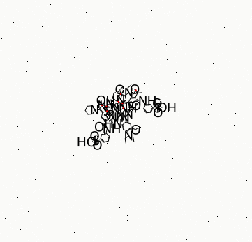 CCN(CC)c1cc(Nc2nc(Nc3cc(N(CC)CC)c(OC)cc3/N=N/c3nc(N4CCCCC4)c(/C=C(\C(C)=O)C(=O)Nc4cccc(S(=O)(=O)O)c4)s3)nc(SCCO)n2)c(/N=N/c2nc(N3CCCCC3)c(/C=C(/C(C)=O)C(=O)Nc3cccc(S(=O)(=O)O)c3)s2)cc1OC